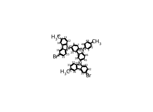 Cc1ccc(-n2c3ccc(-n4c5ccc(C)cc5c5cc(Br)ccc54)cc3c3cc(-n4c5ccc(C)cc5c5cc(Br)ccc54)ccc32)cc1